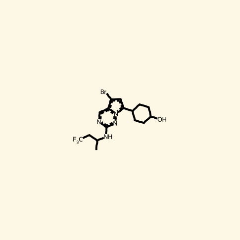 CC(CC(F)(F)F)Nc1ncc2c(Br)cc(C3CCC(O)CC3)n2n1